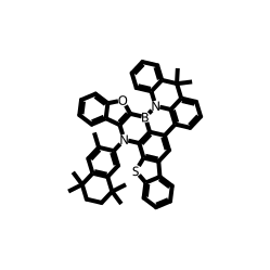 Cc1cc2c(cc1N1c3c(oc4ccccc34)B3c4c(cc5c(sc6ccccc65)c41)-c1cccc4c1N3c1ccccc1C4(C)C)C(C)(C)CCC2(C)C